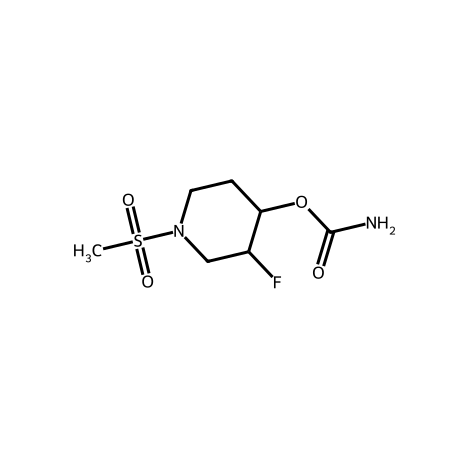 CS(=O)(=O)N1CCC(OC(N)=O)C(F)C1